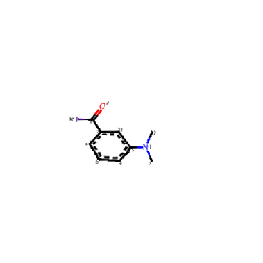 CN(C)c1cccc(C(=O)I)c1